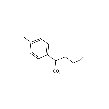 O=C(O)C(CCO)c1ccc(F)cc1